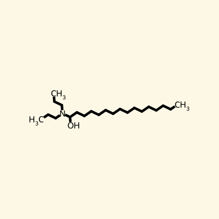 CCCCCCCCCCCCCCCC(O)N(CCC)CCC